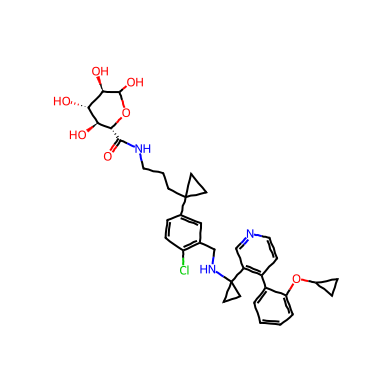 O=C(NCCCC1(c2ccc(Cl)c(CNC3(c4cnccc4-c4ccccc4OC4CC4)CC3)c2)CC1)[C@H]1OC(O)[C@H](O)[C@@H](O)[C@@H]1O